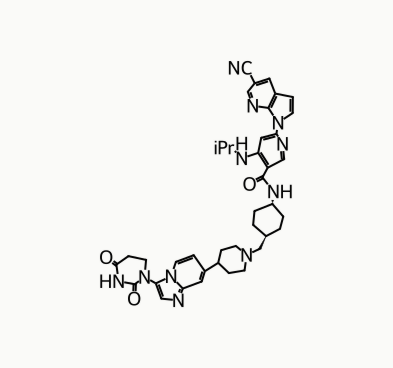 CC(C)Nc1cc(-n2ccc3cc(C#N)cnc32)ncc1C(=O)N[C@H]1CC[C@H](CN2CCC(c3ccn4c(N5CCC(=O)NC5=O)cnc4c3)CC2)CC1